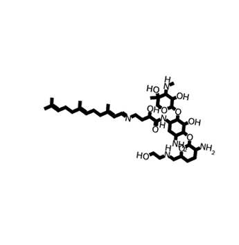 CNC1C(O)C(OC2C(NC(=O)C(O)CC/N=C/C=C(\C)CC/C=C(\C)CCC=C(C)C)CC(N)C(OC3OC(CNCCO)CCC3N)C2O)OCC1(C)O